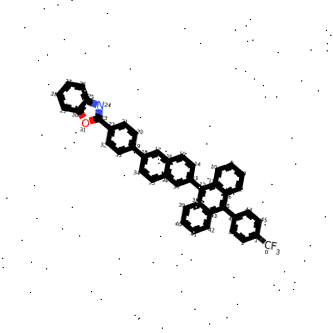 FC(F)(F)c1ccc(-c2c3ccccc3c(-c3ccc4cc(-c5ccc(-c6nc7ccccc7o6)cc5)ccc4c3)c3ccccc23)cc1